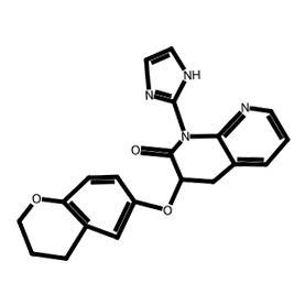 O=C1C(Oc2ccc3c(c2)CCCO3)Cc2cccnc2N1c1ncc[nH]1